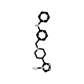 Cn1cnnc1C1CCN(Cc2cccc(Nc3ccccc3)c2)CC1